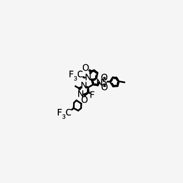 Cc1ccc(S(=O)(=O)n2cc(-c3nc(C)nc(OC4CCC(C(F)(F)F)CC4)c3F)c3c2ccc(=O)n3CC(F)(F)F)cc1